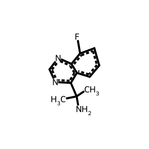 CC(C)(N)c1ncnc2c(F)cccc12